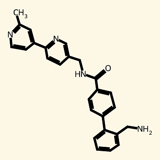 Cc1cc(-c2ccc(CNC(=O)c3ccc(-c4ccccc4CN)cc3)cn2)ccn1